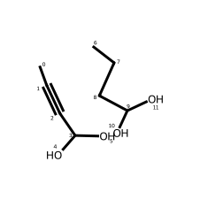 CC#CC(O)O.CCCC(O)O